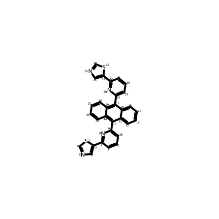 c1cc(-c2cncs2)nc(-c2c3ccccc3c(-c3cccc(-c4cncs4)n3)c3ccccc23)c1